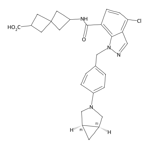 O=C(NC1CC2(C1)CC(C(=O)O)C2)c1ccc(Cl)c2cnn(Cc3ccc(N4C[C@H]5C[C@H]5C4)cc3)c12